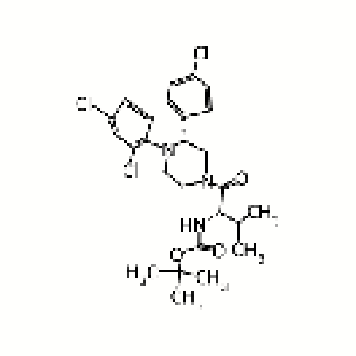 CC(C)[C@H](NC(=O)OC(C)(C)C)C(=O)N1CCN(c2ccc(Cl)cc2Cl)[C@H](c2ccc(Cl)cc2)C1